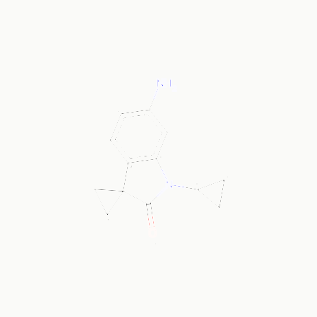 Nc1ccc2c(c1)N(C1CC1)C(=O)C21CC1